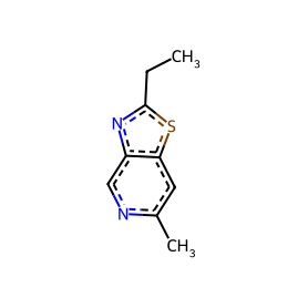 CCc1nc2cnc(C)cc2s1